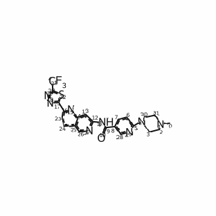 CN1CCN(c2ccc(C(=O)Nc3cc4nc(-c5nnc(C(F)(F)F)s5)ccc4cn3)cn2)CC1